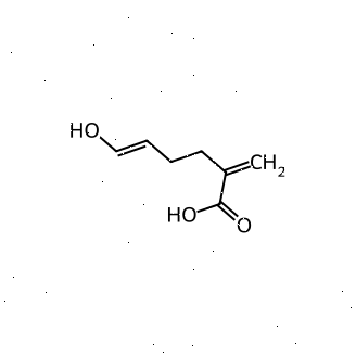 C=C(CCC=CO)C(=O)O